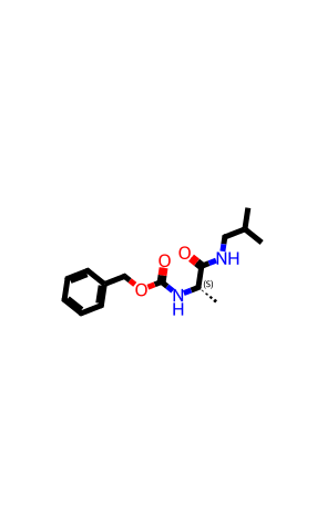 CC(C)CNC(=O)[C@H](C)NC(=O)OCc1ccccc1